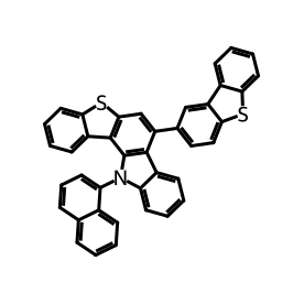 c1ccc2c(-n3c4ccccc4c4c(-c5ccc6sc7ccccc7c6c5)cc5sc6ccccc6c5c43)cccc2c1